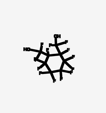 OC(F)(F)C1(F)C(F)(F)C(F)(F)C(F)(F)C(F)(F)C1(F)C(O)(F)F